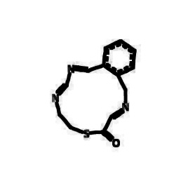 O=C1/C=N/Cc2ccccc2/C=N/C=N/CCS1